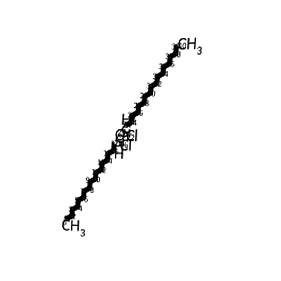 CCCCCCCCCCCCCCCCCC[SiH](Cl)O[SiH](Cl)CCCCCCCCCCCCCCCCCC